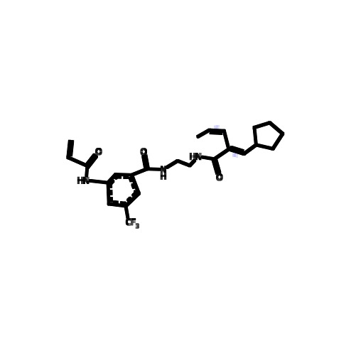 C=CC(=O)Nc1cc(C(=O)NCCNC(=O)C(/C=C\C)=C/C2CCCC2)cc(C(F)(F)F)c1